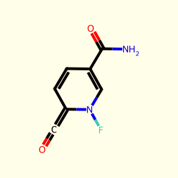 NC(=O)C1=CN(F)C(=C=O)C=C1